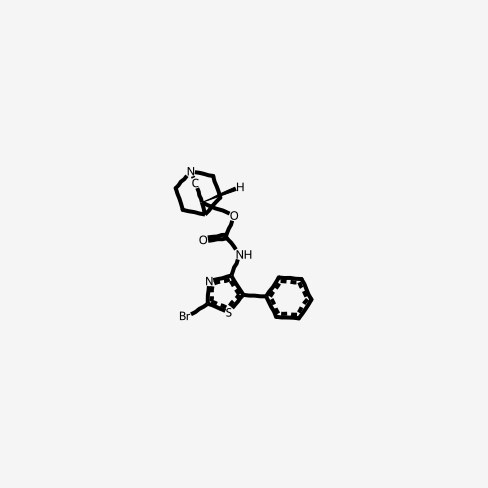 O=C(Nc1nc(Br)sc1-c1ccccc1)O[C@H]1CN2CCC1CC2